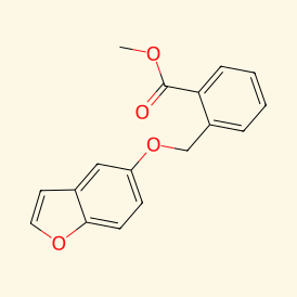 COC(=O)c1ccccc1COc1ccc2occc2c1